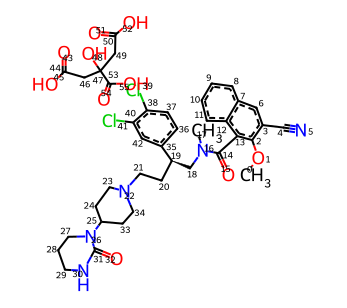 COc1c(C#N)cc2ccccc2c1C(=O)N(C)C[C@@H](CCN1CCC(N2CCCNC2=O)CC1)c1ccc(Cl)c(Cl)c1.O=C(O)CC(O)(CC(=O)O)C(=O)O